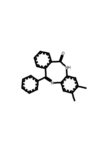 Cc1cc2c(cc1C)NC(=O)c1ccccc1C(c1ccccc1)=N2